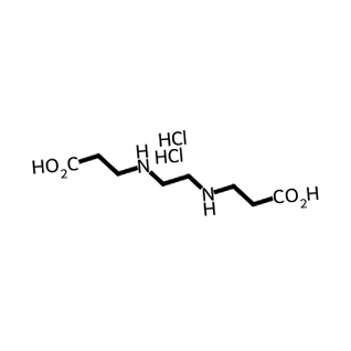 Cl.Cl.O=C(O)CCNCCNCCC(=O)O